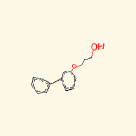 OCCCOc1cccc(-c2ccccc2)c1